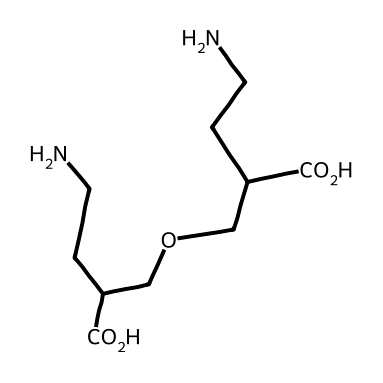 NCCC(COCC(CCN)C(=O)O)C(=O)O